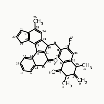 C=C1C(C)C(=O)c2cc(CC3C4=C(c5ccccc5CC4=O)c4c3cc(C)c3c4CC=C3)c(F)cc2C1C